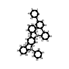 c1ccc(-c2ccc(-c3ccccc3-n3c4ccccc4c4cc5c6ccccc6n(-c6ccccc6)c5cc43)cc2)cc1